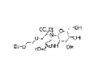 CCCCCCCCCCCC[N+](CCOCCOCC)(C(=O)OCC)C1O[C@H](CO)[C@@H](O)[C@H](O)[C@H]1NC(C)=O